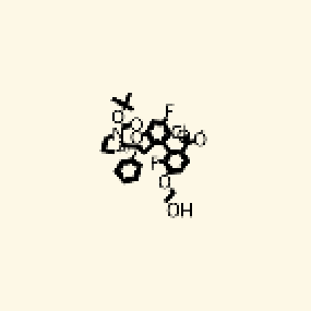 COC(=O)c1ccc(OCCO)c(F)c1-c1c(Cl)c(F)cc2c1C[C@](c1ccccc1)([C@@H]1CCCN1C(=O)OC(C)(C)C)O2